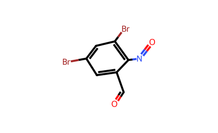 O=Cc1cc(Br)cc(Br)c1N=O